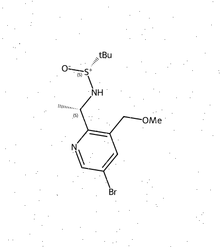 COCc1cc(Br)cnc1[C@H](C)N[S@+]([O-])C(C)(C)C